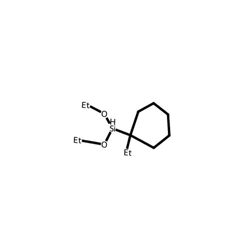 CCO[SiH](OCC)C1(CC)CCCCC1